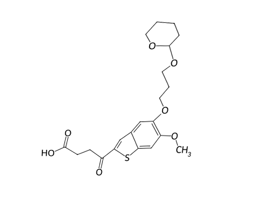 COc1cc2sc(C(=O)CCC(=O)O)cc2cc1OCCCOC1CCCCO1